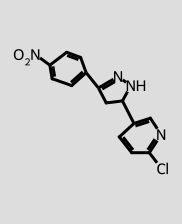 O=[N+]([O-])c1ccc(C2=NNC(c3ccc(Cl)nc3)C2)cc1